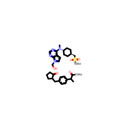 CNS(=O)(=O)C[C@H]1CC[C@H](N(C)c2ncnc3c2ccn3CO)CC1.COC(=O)C(C)c1ccc(CC2CCCC2=O)cc1